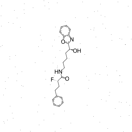 O=C(NCCCC[C@H](O)c1nc2ccccc2o1)[C@@H](F)CCc1ccccc1